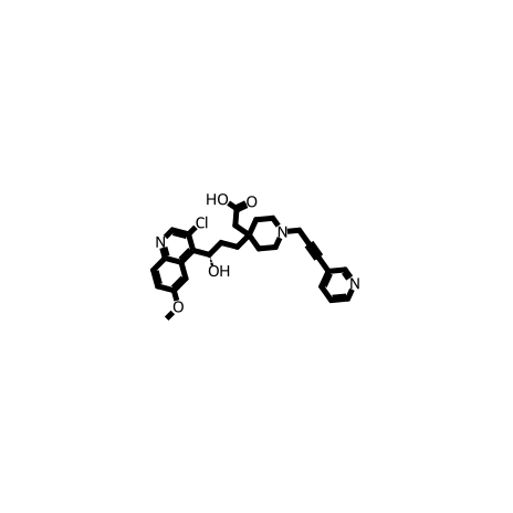 COc1ccc2ncc(Cl)c([C@@H](O)CCC3(CC(=O)O)CCN(CC#Cc4cccnc4)CC3)c2c1